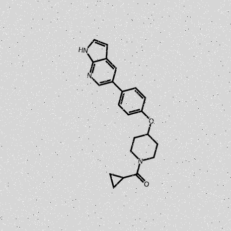 O=C(C1CC1)N1CCC(Oc2ccc(-c3cnc4[nH]ccc4c3)cc2)CC1